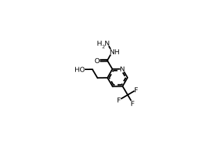 NNC(=O)c1ncc(C(F)(F)F)cc1CCO